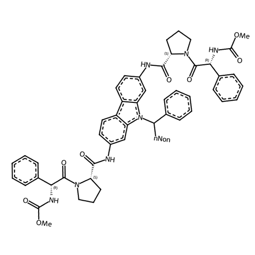 CCCCCCCCCC(c1ccccc1)n1c2cc(NC(=O)[C@@H]3CCCN3C(=O)[C@H](NC(=O)OC)c3ccccc3)ccc2c2ccc(NC(=O)[C@@H]3CCCN3C(=O)[C@H](NC(=O)OC)c3ccccc3)cc21